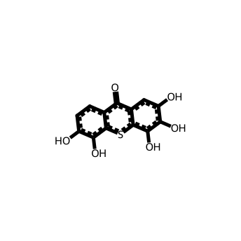 O=c1c2ccc(O)c(O)c2sc2c(O)c(O)c(O)cc12